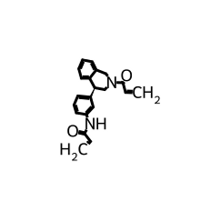 C=CC(=O)Nc1cccc([C@@H]2CN(C(=O)C=C)Cc3ccccc32)c1